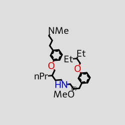 CCCC(CCNC[C@@H](Cc1cccc(OCC(CC)CC)c1)OC)COc1cccc(CCCNC)c1